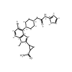 Cn1c(C2CC2C(N)=O)nc2c(N3CCN(CC(=O)Nc4nccs4)CC3)c(Br)cnc21